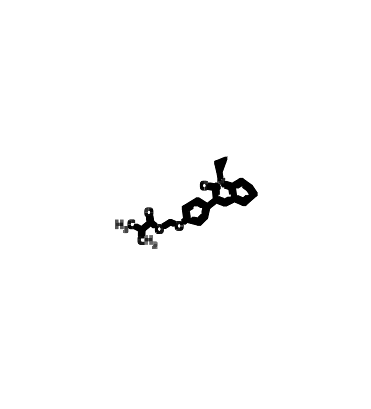 C=C(C)C(=O)OCOc1ccc(-c2cc3ccccc3n(C3CC3)c2=O)cc1